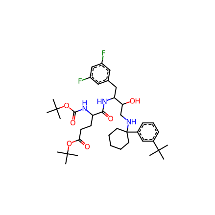 CC(C)(C)OC(=O)CCC(NC(=O)OC(C)(C)C)C(=O)NC(Cc1cc(F)cc(F)c1)C(O)CNC1(c2cccc(C(C)(C)C)c2)CCCCC1